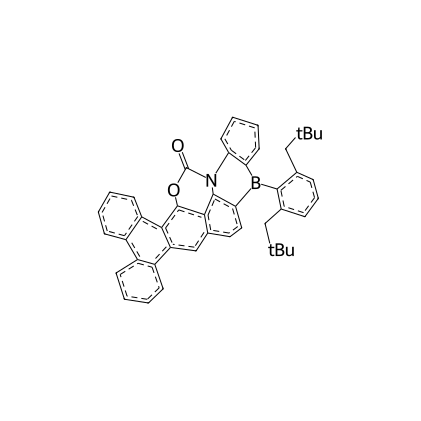 CC(C)(C)Cc1cccc(CC(C)(C)C)c1B1c2ccccc2N2C(=O)Oc3c4c2c1ccc4cc1c2ccccc2c2ccccc2c31